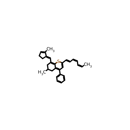 C\C=C/C=C\C=C\C1=CC(c2ccccc2)=C2CC(C)CC(/C=C3\CCC=C3C)=C2S1